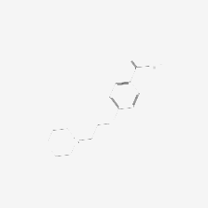 CCCC(=O)c1ccc(OCCN2CCOCC2)cc1